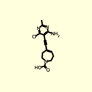 Cc1nc(N)c(C#CC2=CCCN(C(=O)O)CC2)c(Cl)n1